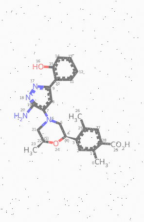 Cc1cc([C@@H]2CN(c3cc(-c4ccccc4O)nnc3N)C[C@H](C)O2)c(C)cc1C(=O)O